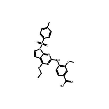 CCOc1nc(Nc2ccc(C(=O)O)cc2OC)nc2c1ccn2S(=O)(=O)c1ccc(C)cc1